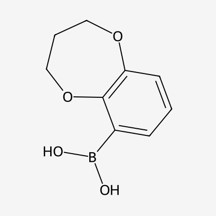 OB(O)c1cccc2c1OCCCO2